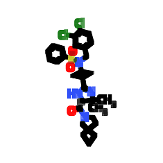 CC1(C)N=C(C23CC2(N(Cc2ccc(Cl)c(Cl)c2)S(=O)(=O)c2ccccc2)C3)N[C@H]1C(=O)N1CCC2(CCC2)C1